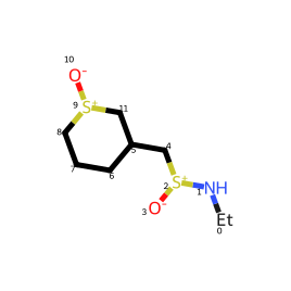 CCN[S+]([O-])CC1CCC[S+]([O-])C1